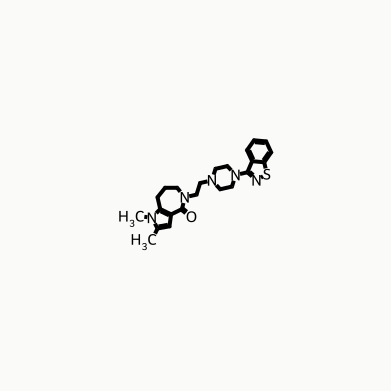 Cc1cc2c(n1C)CCCN(CCN1CCN(c3nsc4ccccc34)CC1)C2=O